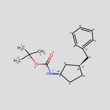 CC(C)(C)OC(=O)N[C@@H]1CC[C@H](Cc2ccccc2)C1